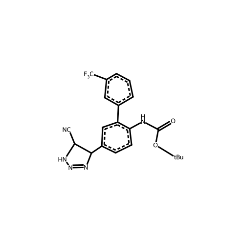 CC(C)(C)OC(=O)Nc1ccc(C2N=NNC2C#N)cc1-c1cccc(C(F)(F)F)c1